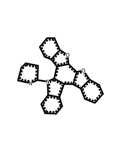 c1ccc(-n2c3ccccc3c3c4c5ccccc5oc4c4oc5ccccc5c4c32)nc1